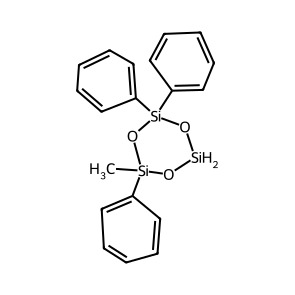 C[Si]1(c2ccccc2)O[SiH2]O[Si](c2ccccc2)(c2ccccc2)O1